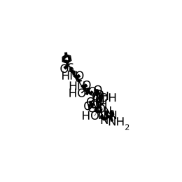 Cc1ccc(C(=O)SCCNC(=O)CCNC(=O)[C@H](O)C(C)(C)COP(=O)(O)OP(=O)(O)OC[C@H]2O[C@@H](n3cnc4c(N)ncnc43)[C@H](O)[C@@H]2OP(=O)(O)O)cc1